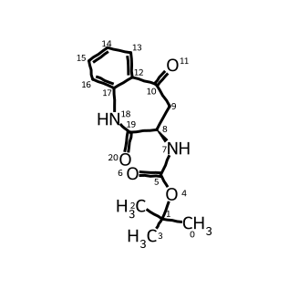 CC(C)(C)OC(=O)N[C@@H]1CC(=O)c2ccccc2NC1=O